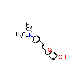 CCN(CC)c1ccc(C=Cc2cc3ccc(O)cc3o2)cc1